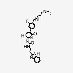 NCCCNCc1ccc(-c2c[nH]c(NC(=O)NCCc3nc4ccccc4[nH]3)nc2=O)cc1F